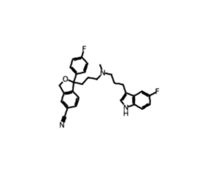 CN(CCCc1c[nH]c2ccc(F)cc12)CCCC1(c2ccc(F)cc2)OCc2cc(C#N)ccc21